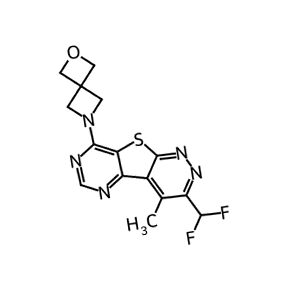 Cc1c(C(F)F)nnc2sc3c(N4CC5(COC5)C4)ncnc3c12